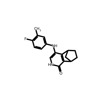 Cc1cc(Nc2c[nH]c(=O)c3c2C2CCC3C2)ccc1F